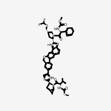 COC(=O)N[C@H](C(=O)N1C2CC2C[C@H]1c1ncc(-c2ccc3c(c2)COc2cc4c(ccc5nc([C@@H]6C[C@H](COC(F)F)CN6C(=O)[C@H](NC(=O)OC)C6C=CC=CC6)[nH]c54)cc2-3)[nH]1)C(C)C